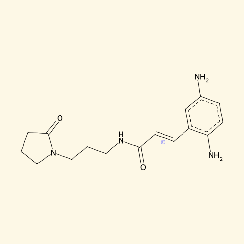 Nc1ccc(N)c(/C=C/C(=O)NCCCN2CCCC2=O)c1